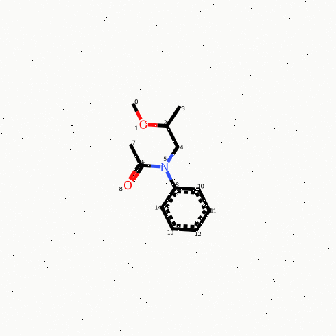 COC(C)CN(C(C)=O)c1ccccc1